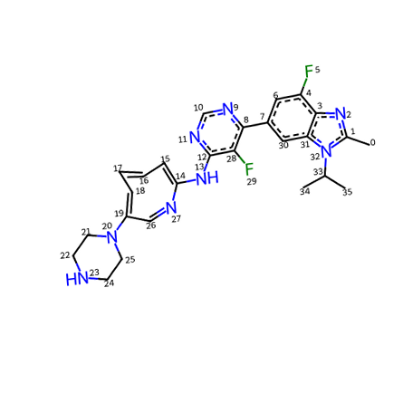 Cc1nc2c(F)cc(-c3ncnc(NC4=C/C=C/C=C(N5CCNCC5)/C=N\4)c3F)cc2n1C(C)C